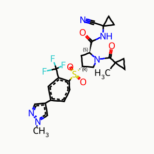 Cn1cc(-c2ccc(S(=O)(=O)[C@@H]3C[C@@H](C(=O)NC4(C#N)CC4)N(C(=O)C4(C)CC4)C3)c(C(F)(F)F)c2)cn1